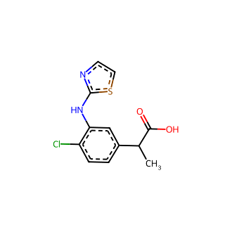 CC(C(=O)O)c1ccc(Cl)c(Nc2nccs2)c1